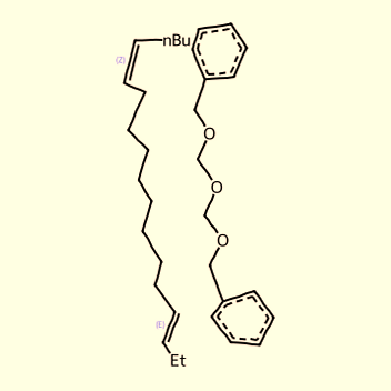 CC/C=C/CCCCCCCC/C=C\CCCC.c1ccc(COCOCOCc2ccccc2)cc1